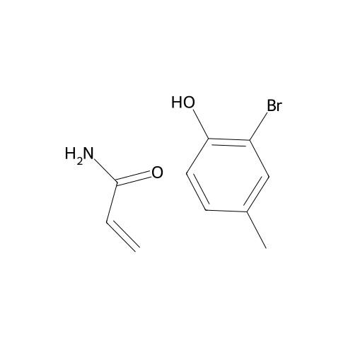 C=CC(N)=O.Cc1ccc(O)c(Br)c1